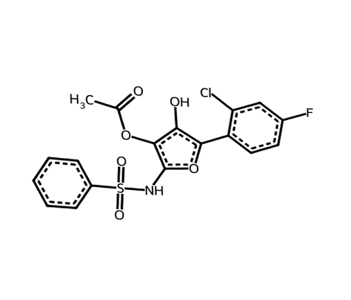 CC(=O)Oc1c(NS(=O)(=O)c2ccccc2)oc(-c2ccc(F)cc2Cl)c1O